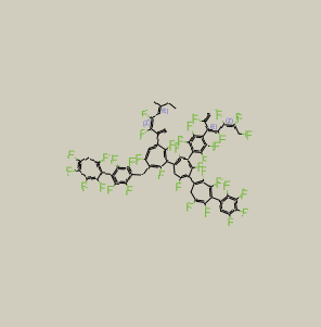 C=C(C1=C=C(F)C(Cc2c(F)c(F)c(C3=C(F)CC(F)=C(F)C(F)=C3F)c(F)c2F)=C(F)C(C2=C(F)C(c3c(F)c(F)c(/C(C(=C)F)=C(F)/C(F)=C(/F)CF)c(F)c3F)=C(F)C(C3=C(F)C(F)=C(c4cc(F)c(F)c(F)c4F)C(F)=C(F)C3)=C(F)C2)=C1F)/C(F)=C(F)\C=C(/C)CC